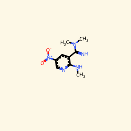 CNc1ncc([N+](=O)[O-])cc1C(=N)N(C)C